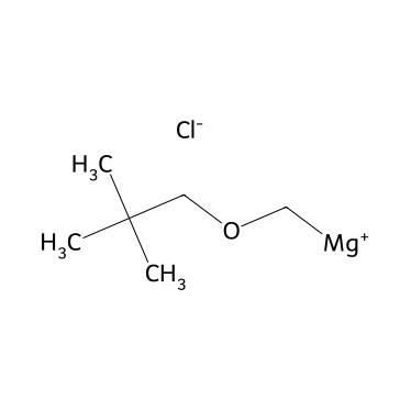 CC(C)(C)CO[CH2][Mg+].[Cl-]